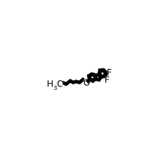 CCCCCCCCOc1ccc2c(c1)Cc1c-2ccc(F)c1F